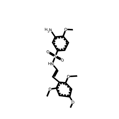 COc1cc(OC)c(C=CNS(=O)(=O)c2ccc(OC)c(N)c2)c(OC)c1